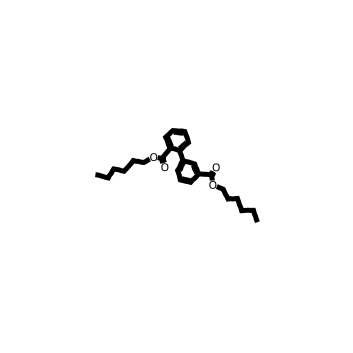 CCCCCCOC(=O)c1cccc(-c2ccccc2C(=O)OCCCCCC)c1